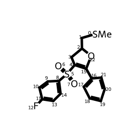 CSCC1CC(S(=O)(=O)c2ccc(F)cc2)=C(c2ccccc2)O1